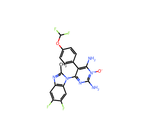 Cc1nc2cc(F)c(F)cc2n1-c1nc(N)[n+]([O-])c(N)c1-c1ccc(OC(F)F)cc1